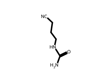 N#CCCCNC(N)=O